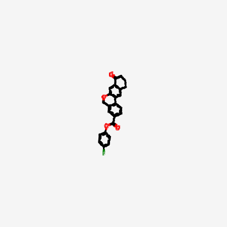 O=C(Oc1ccc(F)cc1)c1ccc2c(c1)COc1cc3c(cc1-2)CCCC3=O